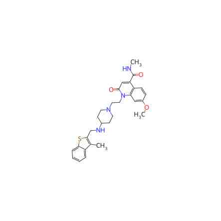 CNC(=O)c1cc(=O)n(CCN2CCC(NCc3sc4ccccc4c3C)CC2)c2cc(OC)ccc12